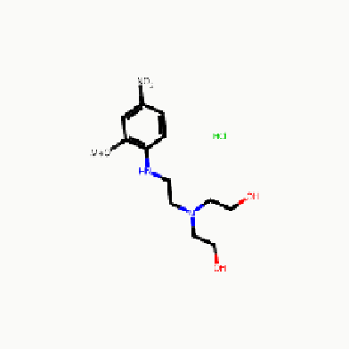 COc1cc([N+](=O)[O-])ccc1NCCN(CCO)CCO.Cl